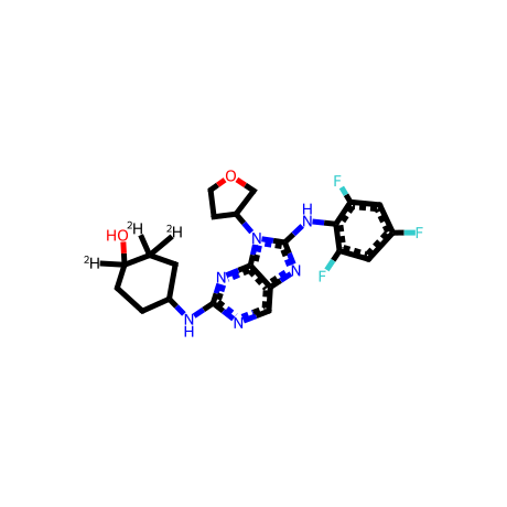 [2H]C1([2H])CC(Nc2ncc3nc(Nc4c(F)cc(F)cc4F)n(C4CCOC4)c3n2)CCC1([2H])O